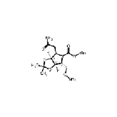 CCCCOC[C@@H]1[C@H]2OC(C)(C)O[C@H]2C(CC(N)=O)N1C(=O)OC(C)(C)C